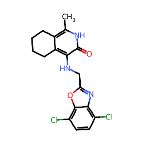 Cc1[nH]c(=O)c(NCc2nc3c(Cl)ccc(Cl)c3o2)c2c1CCCC2